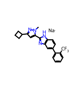 Cn1nc(C2CCC2)cc1-c1nc2cc(-c3ccccc3C(F)(F)F)ccc2[nH]1.[Na]